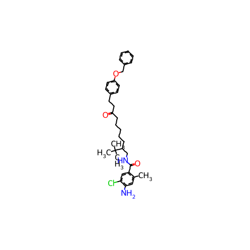 Cc1cc(N)c(Cl)cc1C(=O)NCC(CCCCCC(=O)CCc1ccc(OCc2ccccc2)cc1)C(C)(C)C